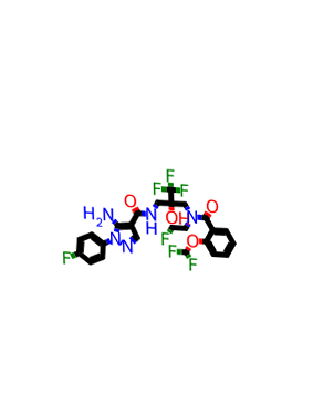 Nc1c(C(=O)NCC(O)(CN(CCF)C(=O)c2ccccc2OC(F)F)C(F)(F)F)cnn1-c1ccc(F)cc1